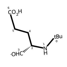 CC(C)(C)N[C@H]([C]=O)CCC(=O)O